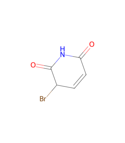 O=C1C=CC(Br)C(=O)N1